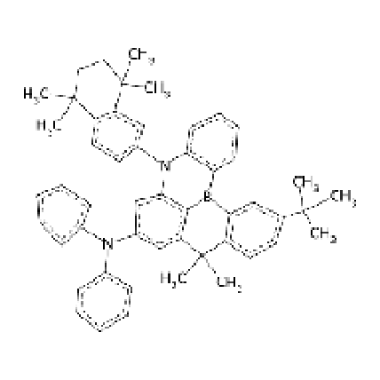 CC(C)(C)c1ccc2c(c1)B1c3ccccc3N(c3ccc4c(c3)C(C)(C)CCC4(C)C)c3cc(N(c4ccccc4)c4ccccc4)cc(c31)C2(C)C